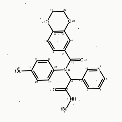 CC(C)(C)NC(=O)C(c1cccnc1)N(C(=O)c1ccc2c(c1)OCCO2)c1ccc(C(C)(C)C)cc1